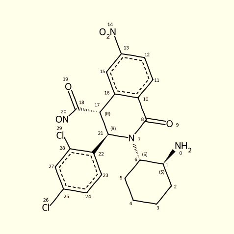 N[C@H]1CCCC[C@@H]1N1C(=O)c2ccc([N+](=O)[O-])cc2[C@@H](C(=O)N=O)[C@@H]1c1ccc(Cl)cc1Cl